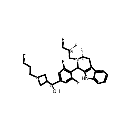 C[C@@H]1Cc2c([nH]c3ccccc23)C(c2c(F)cc([C@@H](O)C3CN(CCCF)C3)cc2F)N1C[C@@H](F)CF